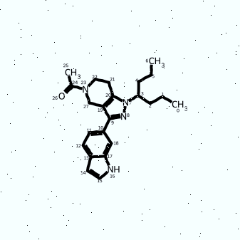 CCCC(CCC)n1nc(-c2ccc3cc[nH]c3c2)c2c1CCN(C(C)=O)C2